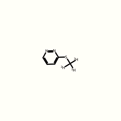 [2H]C([2H])([2H])Sc1cccnn1